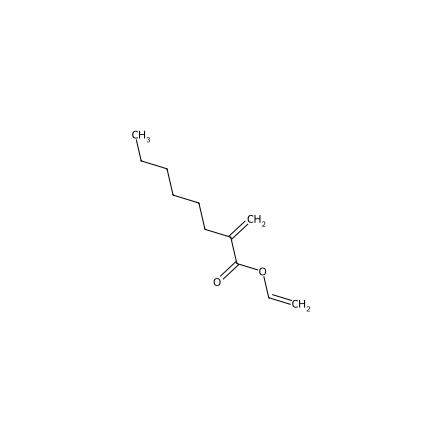 C=COC(=O)C(=C)CCCCCC